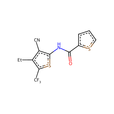 CCc1c(C(F)(F)F)sc(NC(=O)c2cccs2)c1C#N